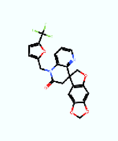 O=C1CC2(COc3cc4c(cc32)OCO4)c2ncccc2N1Cc1ccc(C(F)(F)F)o1